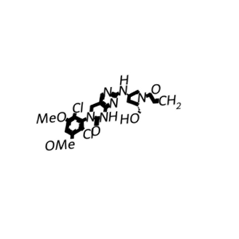 C=CC(=O)N1C[C@@H](Nc2ncc3c(n2)NC(=O)N(c2c(Cl)c(OC)cc(OC)c2Cl)C3)C[C@H]1CO